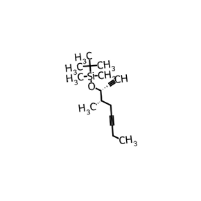 C#C[C@@H](O[Si](C)(C)C(C)(C)C)[C@@H](C)CC#CCC